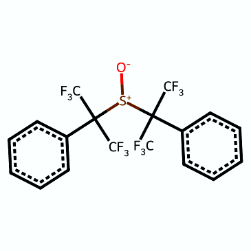 [O-][S+](C(c1ccccc1)(C(F)(F)F)C(F)(F)F)C(c1ccccc1)(C(F)(F)F)C(F)(F)F